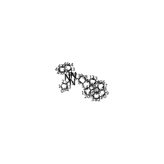 c1ccc(-c2nc(-c3ccc(-c4cccc5c4-c4ccccc4C54c5cccc6ccc7cccc4c7c56)cc3)nc(-c3cccc4ccccc34)n2)cc1